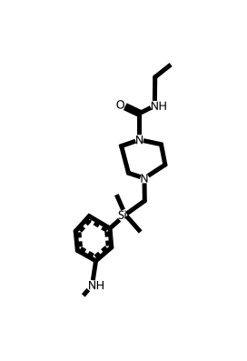 CCNC(=O)N1CCN(C[Si](C)(C)c2cccc(NC)c2)CC1